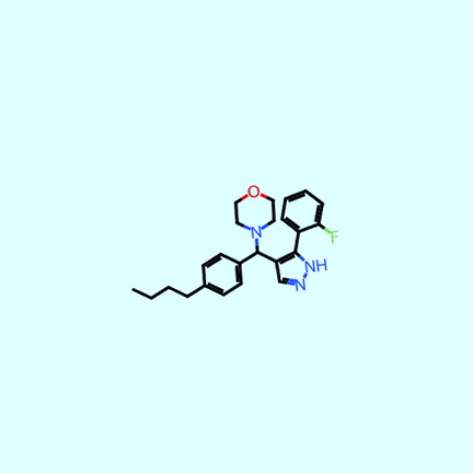 CCCCc1ccc(C(c2cn[nH]c2-c2ccccc2F)N2CCOCC2)cc1